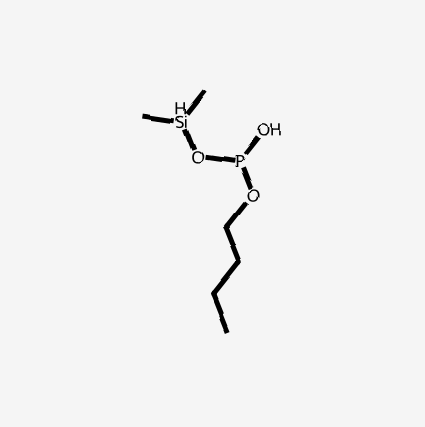 CCCCOP(O)O[SiH](C)C